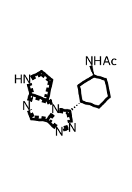 CC(=O)N[C@H]1CCC[C@H](c2nnc3cnc4[nH]ccc4n23)C1